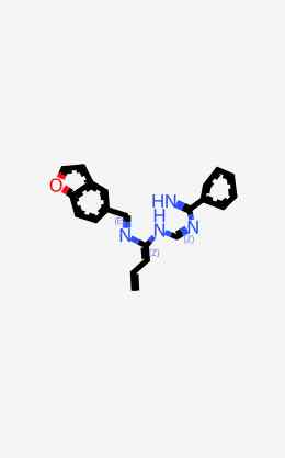 C=C/C=C(\N=C\c1ccc2occc2c1)N/C=N\C(=N)c1ccccc1